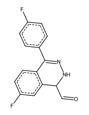 O=CC1NN=C(c2ccc(F)cc2)c2ccc(F)cc21